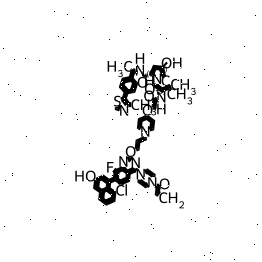 C=CC(=O)N1CCN(c2nc(OCCCN3CCC(OCC(=O)N[C@H](C(=O)N4C[C@H](O)C[C@H]4C(=O)N[C@@H](C)c4ccc(-c5scnc5C)cc4)C(C)(C)C)CC3)nc3c(F)c(-c4cc(O)cc5ccccc45)c(Cl)cc23)CC1